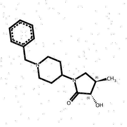 C[C@@H]1CN(C2CCN(Cc3ccccc3)CC2)C(=O)[C@H]1O